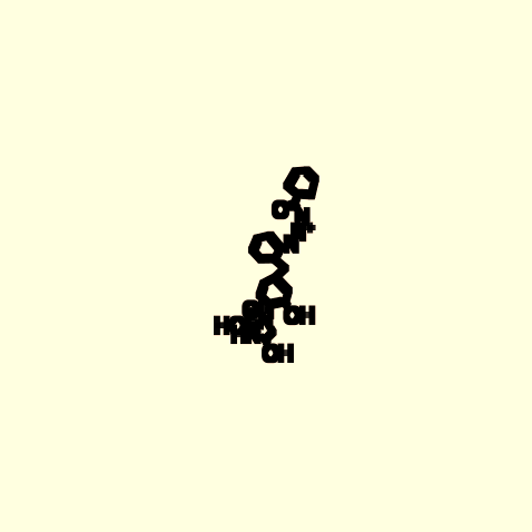 O=C(N=[N+]=Nc1ccccc1Cc1ccc(N2CC(O)NS2(O)O)c(O)c1)c1ccccc1